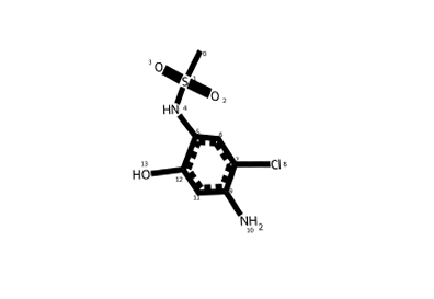 CS(=O)(=O)Nc1cc(Cl)c(N)cc1O